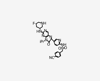 CC(C)n1c(=O)c(-c2ccc(NS(=O)(=O)Cc3ccc(C#N)cc3)nc2)nc2cnc(N[C@@H]3CNC[C@@H](F)C3)nc21